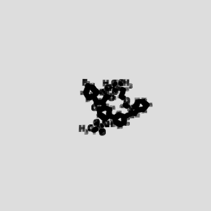 CCS(=O)(=O)Nc1cc2oc(-c3ccc(F)cc3)c(C(=O)NC)c2cc1-c1cccc(-c2cc3ccccc3n2COCC[Si](C)(C)C)c1